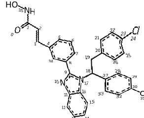 O=C(C=Cc1cccc(-c2nc3ccccc3n2C(Cc2ccc(Cl)cc2)c2ccc(Cl)cc2)c1)NO